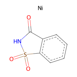 O=C1NS(=O)(=O)c2ccccc21.[Ni]